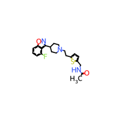 CC(=O)NCc1ccc(CCN2CCC(c3noc4cccc(F)c34)CC2)s1